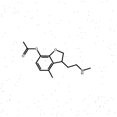 CNCCC1COc2c(OC(C)=O)ccc(C)c21